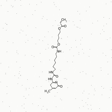 C=CC(=O)OCCCCOC(=O)NCCCCCCNC(=O)NC1=NC(=O)C=C(C)C1